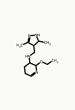 CCOC1N=CCCC1NCC1C(C)=NNC1C